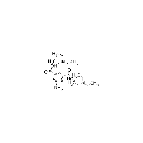 CCN(CC)CC.CCN(CC)CC.Nc1cc(C(=O)O)cc(C(=O)O)c1